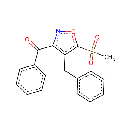 CS(=O)(=O)c1onc(C(=O)c2ccccc2)c1Cc1ccccc1